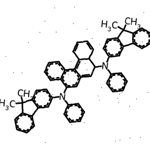 CC1(C)c2ccccc2-c2cc(N(c3ccccc3)c3cc4c(c5ccccc35)=C3C=CC=CC3C(N(c3ccccc3)c3ccc5c(c3)-c3ccccc3C5(C)C)C=4)ccc21